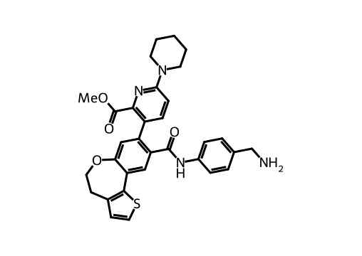 COC(=O)c1nc(N2CCCCC2)ccc1-c1cc2c(cc1C(=O)Nc1ccc(CN)cc1)-c1sccc1CCO2